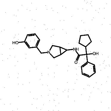 O=C(NC1C2CN(Cc3cccc(O)c3)CC21)C(O)(c1ccccc1)C1CCCC1